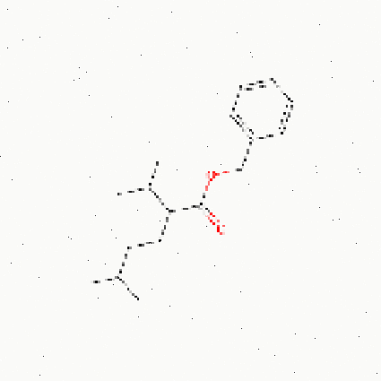 CC(C)CCC(C(=O)OCc1ccccc1)C(C)C